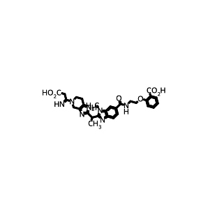 CC(c1nc2c([nH]1)CCN(C(=N)CC(=O)O)C2)c1nc2ccc(C(=O)NCCOc3ccccc3C(=O)O)cc2n1C